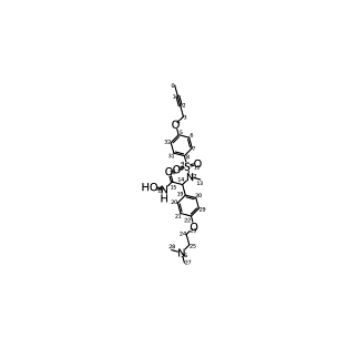 CC#CCOc1ccc(S(=O)(=O)N(C)C(C(=O)NO)c2ccc(OCCN(C)C)cc2)cc1